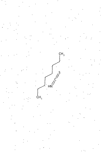 CCCCCCCC.N=C=S